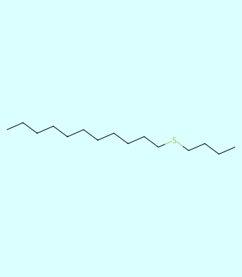 CCCCCCCCCCCSCCCC